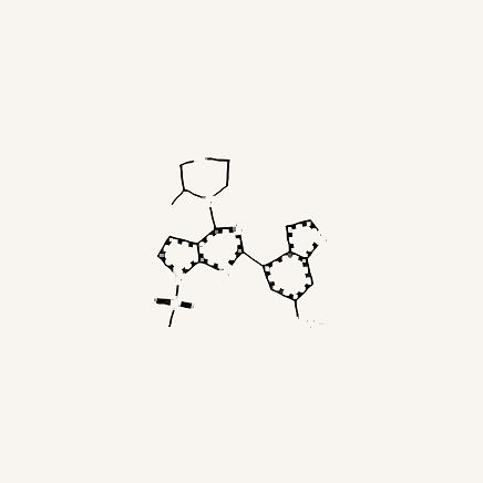 COc1cc(-c2nc(N3CCOCC3C)c3ccn(S(C)(=O)=O)c3n2)c2cc[nH]c2c1